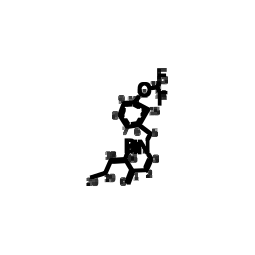 C=C(/C=C\NCc1cccc(OC(F)F)c1)/C(Br)=C\CC